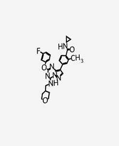 Cc1cc(-c2cnn3c(NCC4CCOCC4)nc(Oc4cccc(F)c4)nc23)ccc1C(=O)NC1CC1